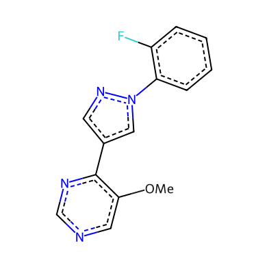 COc1cncnc1-c1cnn(-c2ccccc2F)c1